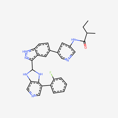 CCC(C)C(=O)Nc1cncc(-c2ccc3[nH]nc(C4Nc5cncc(-c6ccccc6F)c5N4)c3c2)c1